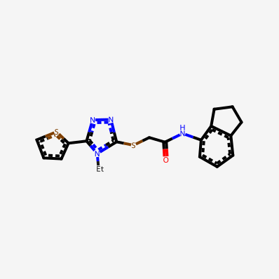 CCn1c(SCC(=O)Nc2cccc3c2CCC3)nnc1-c1cccs1